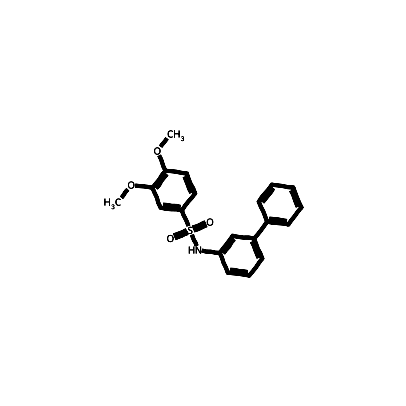 COc1ccc(S(=O)(=O)Nc2cccc(-c3ccccc3)c2)cc1OC